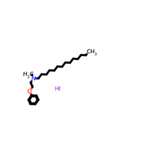 CCCCCCCCCCCCCCN(C)CCOc1ccccc1.I